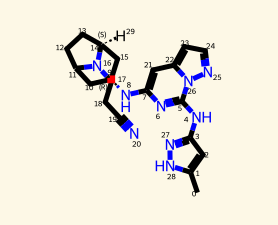 Cc1cc(Nc2nc(N[C@@H]3CC4CC[C@@H](C3)N4CCC#N)cc3ccnn23)n[nH]1